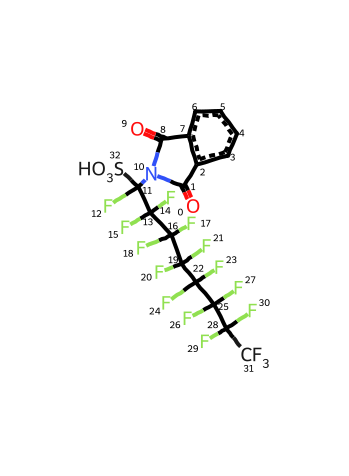 O=C1c2ccccc2C(=O)N1C(F)(C(F)(F)C(F)(F)C(F)(F)C(F)(F)C(F)(F)C(F)(F)C(F)(F)F)S(=O)(=O)O